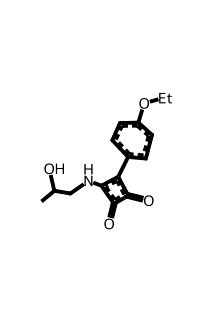 CCOc1ccc(-c2c(NCC(C)O)c(=O)c2=O)cc1